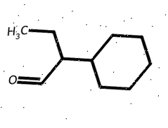 CCC([C]=O)C1CCCCC1